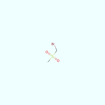 [CH2]S(=O)(=O)CBr